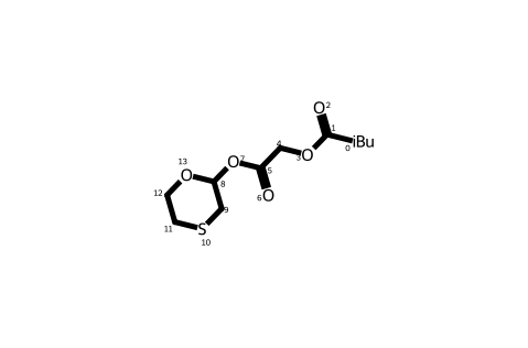 CCC(C)C(=O)OCC(=O)OC1CSCCO1